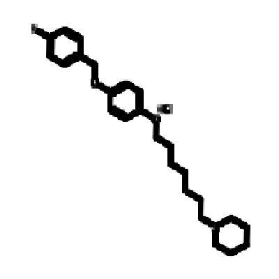 Cl.Fc1ccc(COc2ccc(OCCCCCCCN3CCCCC3)cc2)cc1